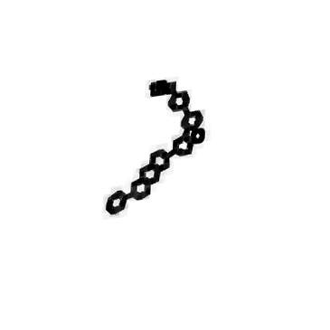 CC(C)(C)c1ccc(-c2ccc3oc4ccc(-c5ccc6cc7cc(-c8ccccc8)ccc7cc6c5)cc4c3c2)cc1